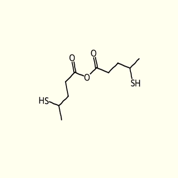 CC(S)CCC(=O)OC(=O)CCC(C)S